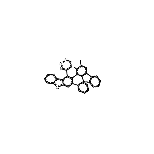 Cc1cc2c(c(-c3c(-c4ccccc4)cc4oc5ccccc5c4c3-c3ccnnn3)c1C)Cc1ccccc1-2